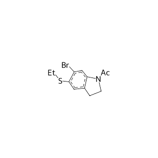 CCSc1cc2c(cc1Br)N(C(C)=O)CC2